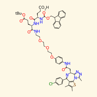 Cc1sc2c(c1C)C(c1ccc(Cl)cc1)=N[C@@H](CC(=O)Nc1ccc(OCCOCCOCCNC(=O)[C@@H](CCC(=O)OC(C)(C)C)NC(=O)[C@@H](CCC(=O)O)NC(=O)OCC3c4ccccc4-c4ccccc43)cc1)c1nnc(C)n1-2